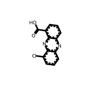 O=C(O)c1cccc2nc3cccc(Cl)c3nc12